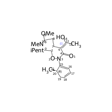 CCCC(C)CON(C(=O)/C(CCC(NC)OC)=C(\C)O)C1=CC=CC[C@H]1C